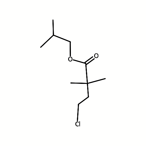 CC(C)COC(=O)C(C)(C)CCCl